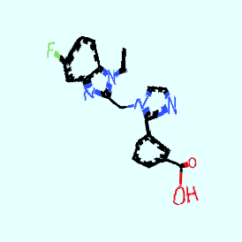 CCn1c(Cn2ccnc2-c2cccc(C(=O)O)c2)nc2cc(F)ccc21